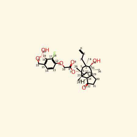 C=CC[C@]1(C)C[C@@H](OC(=O)COc2ccc3c(c2F)B(O)OC3)[C@]2(C)[C@H](C)CC[C@]3(CCC(=O)[C@H]32)[C@@H](C)[C@@H]1O